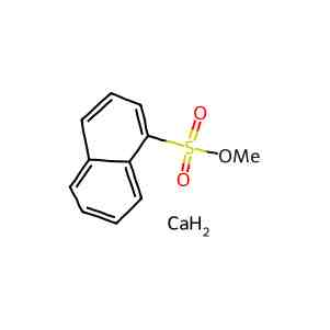 COS(=O)(=O)c1cccc2ccccc12.[CaH2]